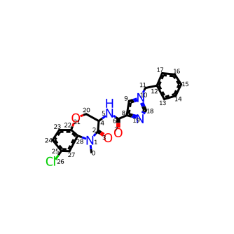 CN1C(=O)C(NC(=O)c2cn(Cc3ccccc3)cn2)COc2ccc(Cl)cc21